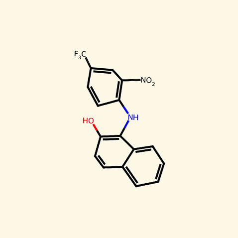 O=[N+]([O-])c1cc(C(F)(F)F)ccc1Nc1c(O)ccc2ccccc12